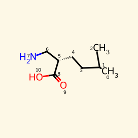 CC(C)CC[C@@H](CN)C(=O)O